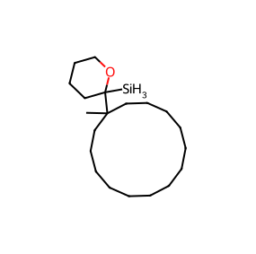 CC1(C2([SiH3])CCCCO2)CCCCCCCCCCCCC1